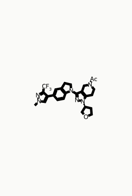 CC(=O)N1CCc2c(c(N3CCc4cc(-c5cn(C)nc5C(F)(F)F)ccc43)nn2[C@H]2CCOC2)C1